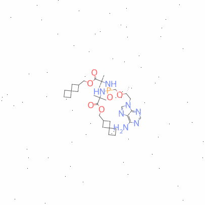 C[C@H](Cn1cnc2c(N)ncnc21)OCP(=O)(NC(C)(C)C(=O)OCC1CC2(CCC2)C1)NC(C)(C)C(=O)OCC1CC2(CCC2)C1